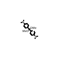 C=C(/C=C\C(=C/C)N(C)C)C(OC)(OC)c1ccc(N(C)C)cc1